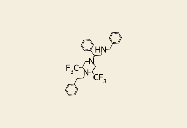 FC(F)(F)C1CN(C(CNCc2ccccc2)c2ccccc2)CC(C(F)(F)F)N1CCc1ccccc1